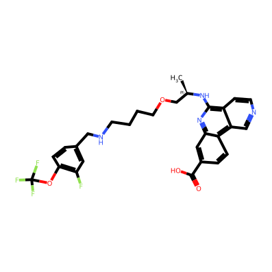 C[C@H](COCCCCNCc1ccc(OC(F)(F)F)c(F)c1)Nc1nc2cc(C(=O)O)ccc2c2cnccc12